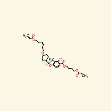 C=CC(=O)OCC/C=C\CCOC1CCC(C(F)(F)Oc2ccc(C(=O)OCCCCOC(=O)C=C)c(C(F)(F)F)c2C(F)(F)F)CC1